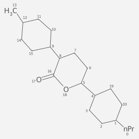 CCCC1CCC(C2CCC(C3CCC(C)CC3)C(=O)O2)CC1